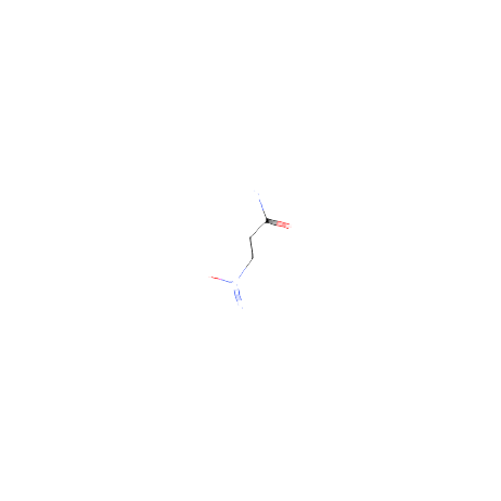 N=[N+]([O-])CCC(N)=O